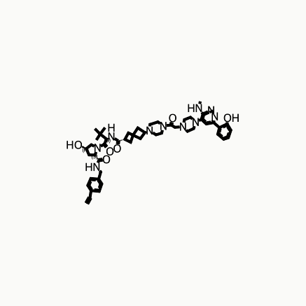 C#Cc1ccc(CNC(=O)[C@@H]2C[C@@H](O)CN2C(=O)[C@@H](NC(=O)[C@H]2CC3(C2)C[C@H](N2CCN(C(=O)CN4CCN(c5cc(-c6ccccc6O)nnc5NC)CC4)CC2)C3)C(C)(C)C)cc1